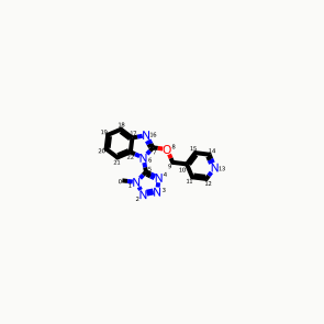 Cn1nnnc1-n1c(OCc2ccncc2)nc2ccccc21